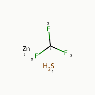 FC(F)F.S.[Zn]